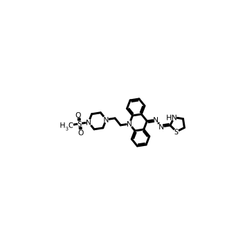 CS(=O)(=O)N1CCN(CCn2c3ccccc3c(=NN=C3NCCS3)c3ccccc32)CC1